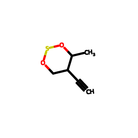 C#CC1COSOC1C